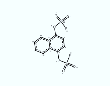 O=S(=O)(F)Oc1ccc(OS(=O)(=O)F)c2ccccc12